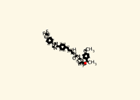 COc1ccc(C(C)C)c(N2C(=O)CSC2=NC(=O)NCCCCc2ccc(-c3ncn(-c4ccc(OC(F)(F)F)cc4)n3)cc2)c1